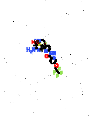 CC1(C)C(N)=N[C@](C)(c2nc(NC(=O)c3ccc(OCC(F)(F)C(F)F)cn3)ccc2F)[C@@H]2CCCNS21O